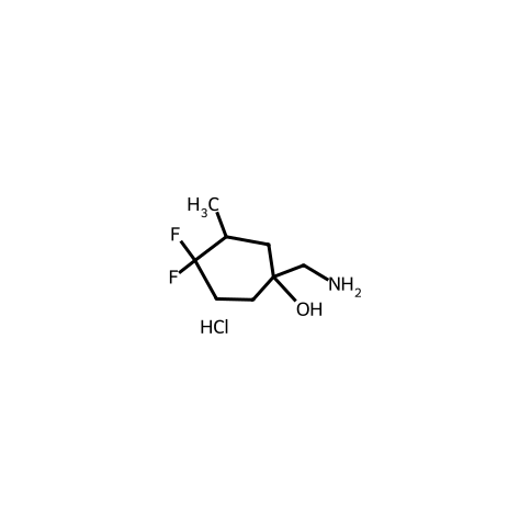 CC1CC(O)(CN)CCC1(F)F.Cl